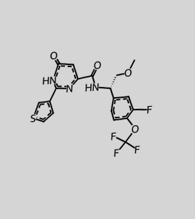 COC[C@@H](NC(=O)c1cc(=O)[nH]c(-c2ccsc2)n1)c1ccc(OC(F)(F)F)c(F)c1